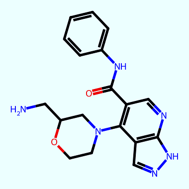 NCC1CN(c2c(C(=O)Nc3ccccc3)cnc3[nH]ncc23)CCO1